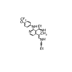 CCC#CN/C=C(\C)c1ccnc(Nc2ccc(OC(F)(F)F)cc2)c1C(=N)CC